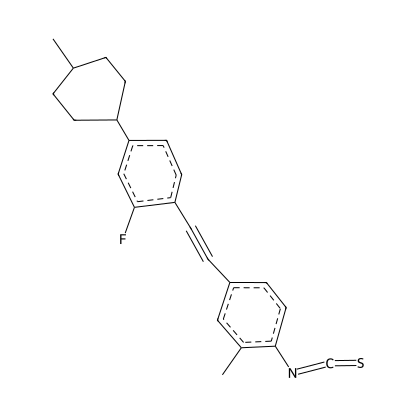 Cc1cc(C#Cc2ccc(C3CCC(C)CC3)cc2F)ccc1N=C=S